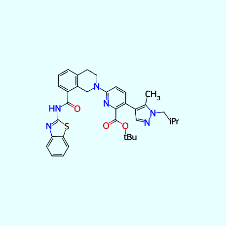 Cc1c(-c2ccc(N3CCc4cccc(C(=O)Nc5nc6ccccc6s5)c4C3)nc2C(=O)OC(C)(C)C)cnn1CC(C)C